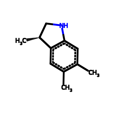 Cc1cc2c(cc1C)[C@H](C)CN2